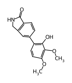 COc1ccc(-c2ccc3c(c2)CNC3=O)c(O)c1OC